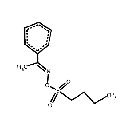 CCCCS(=O)(=O)ON=C(C)c1ccccc1